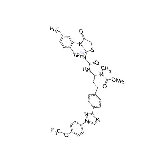 CCCc1ccc(C)cc1N1C(=O)CS/C1=N\C(=O)NC(CCc1ccc(-c2ncn(-c3ccc(OC(F)(F)F)cc3)n2)cc1)N(C)C(=O)OC